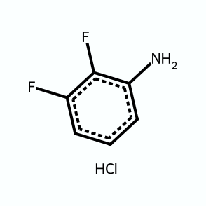 Cl.Nc1cccc(F)c1F